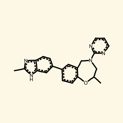 Cc1nc2ccc(-c3ccc4c(c3)CN(c3ncccn3)CC(C)O4)cc2[nH]1